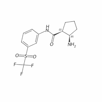 N[C@@H]1CCC[C@@H]1C(=O)Nc1cccc(S(=O)(=O)C(F)(F)F)c1